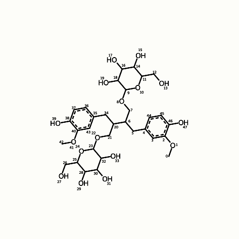 COc1cc(CC(COC2OC(CO)C(O)C(O)C2O)C(COC2OC(CO)C(O)C(O)C2O)Cc2ccc(O)c(OC)c2)ccc1O